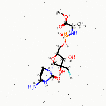 CC(C)OC(=O)[C@H](C)N[PH](=O)OCC1O[C@@H](n2ccc(N)nc2=O)C(O)(CF)[C@H]1O